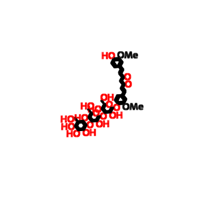 COc1cc(/C=C/C(=O)CC(=O)/C=C/c2ccc(O[C@@H]3O[C@H](CO)[C@@H](O)[C@H](O[C@@H]4O[C@H](CO)[C@@H](O)[C@H](O[C@@H]5C[C@H](CO)[C@@H](O)[C@H](O)[C@H]5O)[C@H]4O)[C@H]3O)c(OC)c2)ccc1O